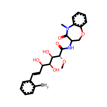 Bc1ccccc1/C=C/[C@@H](O)[C@H](O)[C@@H](O)[C@@H](OC)C(=O)NC1COc2ccccc2N(C)C1=O